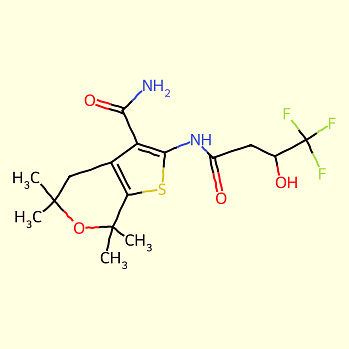 CC1(C)Cc2c(sc(NC(=O)CC(O)C(F)(F)F)c2C(N)=O)C(C)(C)O1